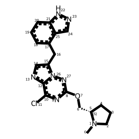 CN1CCC[C@H]1COc1nc(Cl)c2ncc(Cc3cccc4[nH]ncc34)n2n1